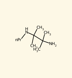 CCCNC(C)(C)C(C)(C)N